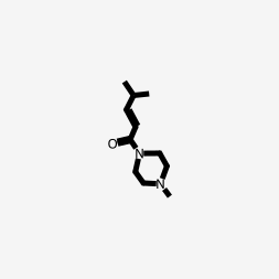 CC(C)/C=C/C(=O)N1CCN(C)CC1